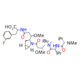 CC[C@H](C)[C@@H]([C@@H](CC(=O)N1[C@H]2C[C@H]2C[C@H]1[C@H](OC)[C@@H](C)C(=O)N[C@@H](Cc1cccc(F)c1)C(=O)O)OC)N(C)C(=O)[C@@H](NC(=O)[C@@H](NC)C(C)C)C(C)C